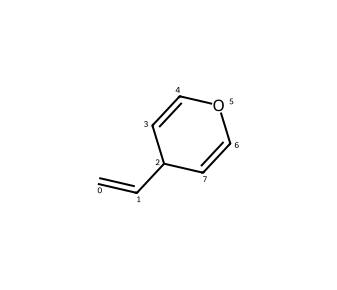 C=CC1C=COC=C1